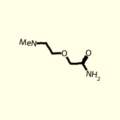 CNCCOCC(N)=O